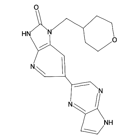 O=c1[nH]c2ncc(-c3cnc4[nH]ccc4n3)cc2n1CC1CCOCC1